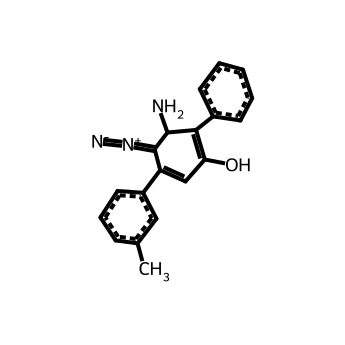 Cc1cccc(C2=CC(O)=C(c3ccccc3)C(N)C2=[N+]=[N-])c1